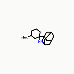 CCCCCCC1CCCC(N)(C23CC4CC(CC(C4)C2)C3)C1